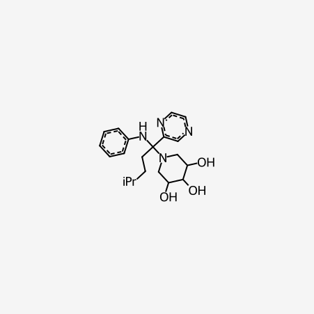 CC(C)CCC(Nc1ccccc1)(c1cnccn1)N1CC(O)C(O)C(O)C1